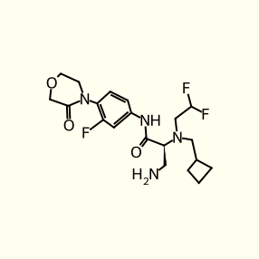 NC[C@@H](C(=O)Nc1ccc(N2CCOCC2=O)c(F)c1)N(CC(F)F)CC1CCC1